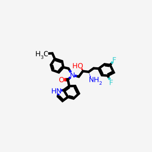 CCc1cccc(CN(C[C@@H](O)[C@@H](N)Cc2cc(F)cc(F)c2)C(=O)c2cccc3cc[nH]c23)c1